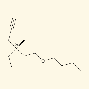 C#CC[C@@](C)(CC)CCOCCCC